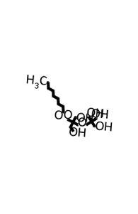 CCCCCCCCC(=O)OCC(CO)(CO)COCC(CO)(CO)CO